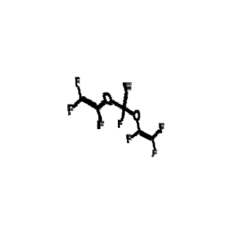 FC(F)=C(F)OC(F)(F)OC(F)=C(F)F